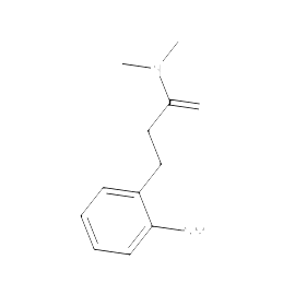 CNc1ccccc1CCC(=O)N(C)C